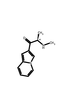 CN[C@H](C)C(=O)c1cc2ccccn2c1